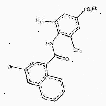 CCOC(=O)c1cc(C)c(NC(=O)c2cc(Br)cc3ccccc23)c(C)c1